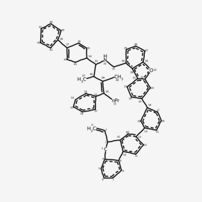 C=CC1Cc2ccccc2-c2ccc(-c3cccc(-c4ccc5c(c4)oc4cccc(CNC(C6C=CC(c7ccccc7)=CC6)C(C)/C(C)=C(/CCC)c6ccccc6)c45)c3)cc21